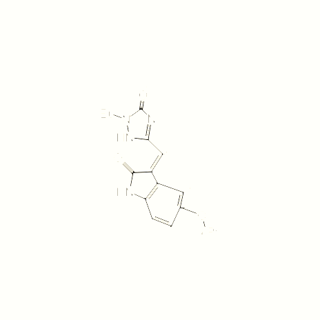 CCn1[nH]c(/C=C2\C(=O)Nc3ccc(OC(C)C)cc32)nc1=O